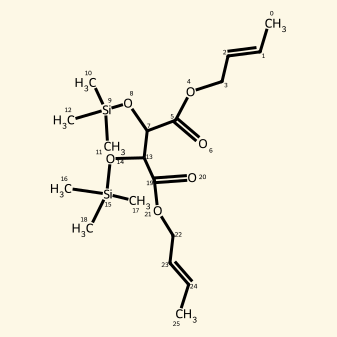 CC=CCOC(=O)C(O[Si](C)(C)C)C(O[Si](C)(C)C)C(=O)OCC=CC